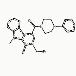 CC(C)Cn1cc(C(=O)N2CCN(c3ccccc3)CC2)c2c3ccccc3n(C)c2c1=O